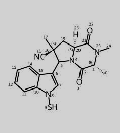 C[C@@H]1C(=O)N2C(c3cn(S)c4ccccc34)[C@@](C)(C#N)C[C@H]2C(=O)N1C